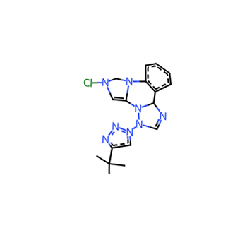 CC(C)(C)c1cn(N2C=NC3c4ccccc4N4CN(Cl)C=C4N32)nn1